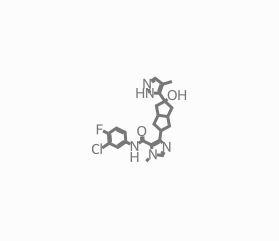 Cc1cn[nH]c1C1(O)CC2CC(c3ncn(C)c3C(=O)Nc3ccc(F)c(Cl)c3)CC2C1